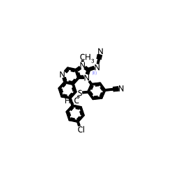 CSc1ccc(C#N)cc1-n1/c(=N/C#N)n(C)c2cnc3ccc(-c4ccc(Cl)cc4)cc3c21